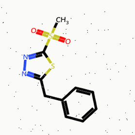 CS(=O)(=O)c1nnc(Cc2ccccc2)s1